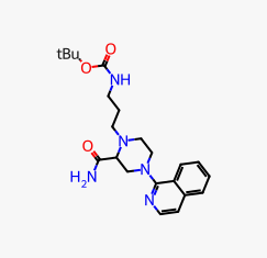 CC(C)(C)OC(=O)NCCCN1CCN(c2nccc3ccccc23)CC1C(N)=O